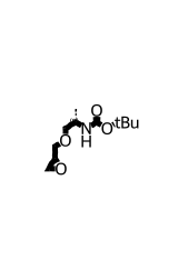 C[C@@H](COCC1CO1)NC(=O)OC(C)(C)C